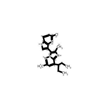 CCC(CC)c1cc(C)nn2c(-c3csc4ccc(Cl)nc34)c(C)nc12